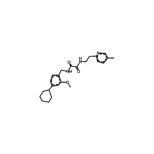 COc1cc(C2CCCCC2)ccc1CNC(=O)C(=O)NCCc1ccc(C)cn1